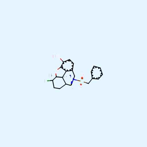 O=S(=O)(Cc1ccccc1)N1CC[C@@]23c4c5ccc(O)c4O[C@@H]2C(F)CCC3[C@@H]1C5